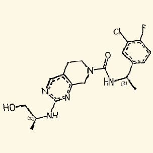 C[C@@H](CO)Nc1ncc2c(n1)CN(C(=O)N[C@H](C)c1ccc(F)c(Cl)c1)CC2